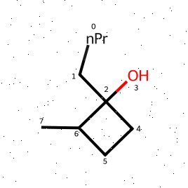 CCCCC1(O)CCC1C